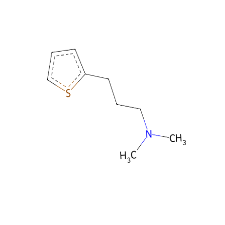 CN(C)CCCc1cccs1